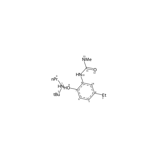 CCCNC(C)(C)C.CCc1ccc(O)c(NC(=O)NC)c1